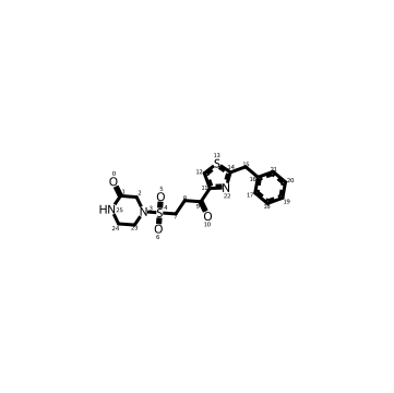 O=C1CN(S(=O)(=O)CCC(=O)c2[c]sc(Cc3ccccc3)n2)CCN1